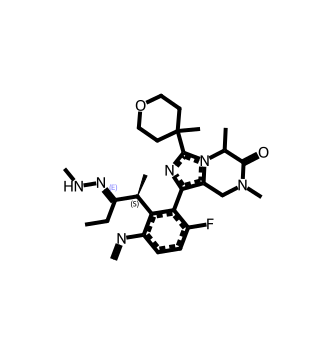 C=Nc1ccc(F)c(-c2nc(C3(C)CCOCC3)n3c2CN(C)C(=O)C3C)c1[C@H](C)/C(CC)=N/NC